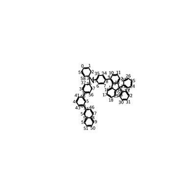 C1=CCC(N(c2ccc(-c3cccc4c3-c3ccccc3C4(c3ccccc3)c3ccccc3)cc2)C2C=CC(c3cccc(-c4ccc5ccccc5c4)c3)=CC2)C=C1